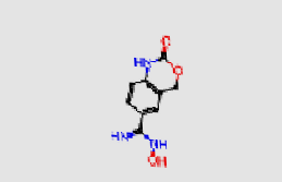 N=C(NO)c1ccc2c(c1)COC(=O)N2